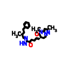 Cc1cc2n(n1)CC[C@H](/C=C/CCC(=O)C(=N)/N=C/[C@@H](C)CCc1ccccc1)C(=O)N2C